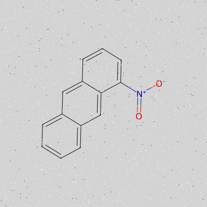 O=[N+]([O-])c1cc[c]c2cc3ccccc3cc12